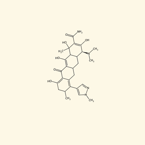 CC1CC(O)=C2C(=O)C3=C(O)C4C(CC3CC2=C1c1cnn(C)c1)[C@H](N(C)C)C(O)=C(C(N)=O)C4(C)O